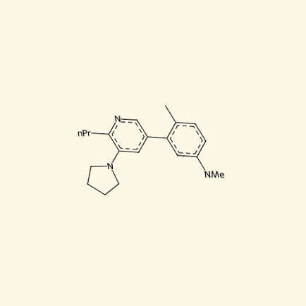 CCCc1ncc(-c2cc(NC)ccc2C)cc1N1CCCC1